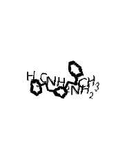 CC(N)(Cc1cccc(CC(C)(N)c2ccccc2)c1)c1ccccc1